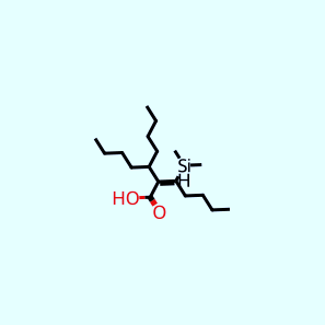 CCCCC(=C(C(=O)O)C(CCCC)CCCC)[SiH](C)C